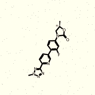 C[C@@H]1CN(c2ccc(-c3ccc(-c4nnn(C)n4)nc3)c(F)c2)C(=O)O1